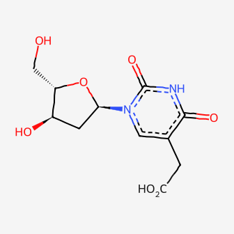 O=C(O)Cc1cn([C@H]2C[C@@H](O)[C@H](CO)O2)c(=O)[nH]c1=O